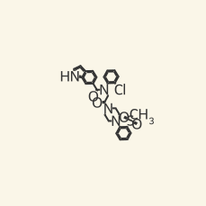 CS(=O)(=O)c1ccccc1N1CCN(C(=O)CN(C(=O)c2ccc3cc[nH]c3c2)c2ccccc2Cl)CC1